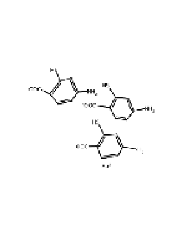 Nc1ccc(C(=O)[O-])c(S)c1.Nc1ccc(C(=O)[O-])c(S)c1.Nc1ccc(C(=O)[O-])c(S)c1.[Au+3]